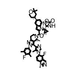 Cc1cc(-n2nc3c(c2-c2ncn(-c4ccc5c(cnn5C)c4F)c2C)[C@H](C)N(C(=O)c2cc4cc([C@H]5CCOC(C)(C)C5)ccc4n2[C@@]2(c4noc(=O)[nH]4)C[C@@H]2C)CC3)cc(C)c1F